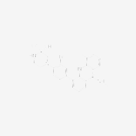 CC1(C)CN(c2ccc(-c3cccc(C(N)=O)c3Nc3ccccc3F)cc2Br)CCN1